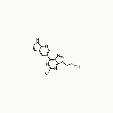 OCCn1cnc2c(-c3cnc4[nH]ccc4c3)nc(Cl)nc21